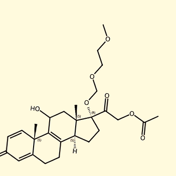 COCCOCO[C@]1(C(=O)COC(C)=O)CC[C@H]2C3=C(C(O)C[C@@]21C)[C@@]1(C)C=CC(=O)C=C1CC3